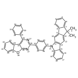 CC1(C)c2ccccc2-c2cc3c(cc21)c1ccccc1n3-c1ccc(-c2nc(-c3ccccc3)c3c(n2)oc2ccccc23)cc1